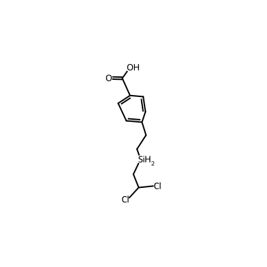 O=C(O)c1ccc(CC[SiH2]CC(Cl)Cl)cc1